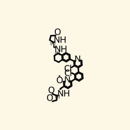 COc1nc(-c2cccc(-c3ccnc(-c4ccc5c(c4)CCC[C@@H]5NC[C@H]4CCC(=O)N4)c3Cl)c2Cl)ccc1CN[C@@H]1CCOC1=O